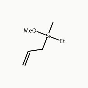 C=CC[Si](C)(CC)OC